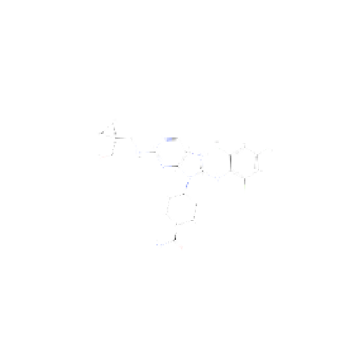 NC(=O)[C@H]1CC[C@@H](n2c(Nc3c(F)cc(Cl)cc3Cl)nc3cnc(NCC4(CO)CC4)nc32)CC1